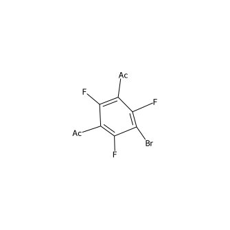 CC(=O)c1c(F)c(Br)c(F)c(C(C)=O)c1F